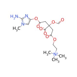 Cn1cc(OC(=O)CC(CC(=O)OCC[N+](C)(C)C)(OC=O)C(=O)[O-])nc1N